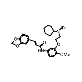 COc1ccc(NC(=O)C=Cc2ccc3c(c2)OCO3)cc1OCCN(C(C)C)C1CCCCC1